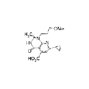 C=C1NC(=O)c2c(C(=O)O)cc(C3CC3)nc2N1CCCOC